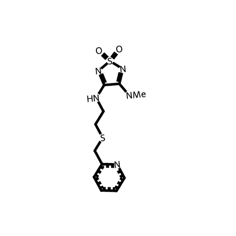 CNC1=NS(=O)(=O)N=C1NCCSCc1ccccn1